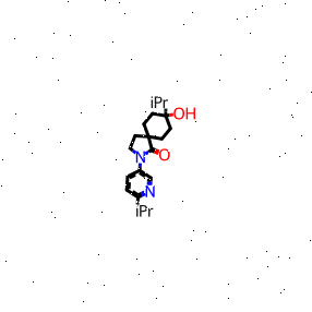 CC(C)c1ccc(N2CCC3(CCC(O)(C(C)C)CC3)C2=O)cn1